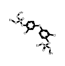 CCCSP(=O)(OCC)Oc1ccc(Sc2ccc(OP(=O)(OCC)SCCC)c(Cl)c2)cc1Cl